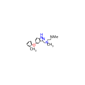 CNCCN(C)Cc1n[nH]c2ccc(Oc3ccccc3C)cc12